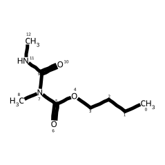 CCCCOC(=O)N(C)C(=O)NC